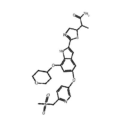 CC(C(N)=O)C1CN=C(c2cc3cc(Oc4ccc(CS(C)(=O)=O)nc4)cc(OC4CCOCC4)c3[nH]2)S1